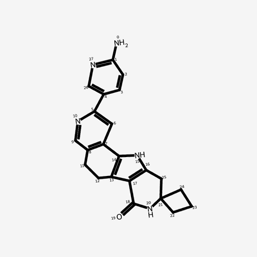 Nc1ccc(-c2cc3c(cn2)CCc2c-3[nH]c3c2C(=O)NC2(CCC2)C3)cn1